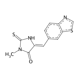 CN1C(=O)/C(=C/c2ccc3ncsc3c2)NC1=S